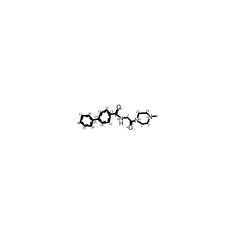 CN1CCN(C(=O)CNC(=O)c2ccc(-c3ccccc3)cc2)CC1